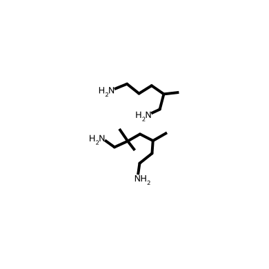 CC(CCN)CC(C)(C)CN.CC(CN)CCCN